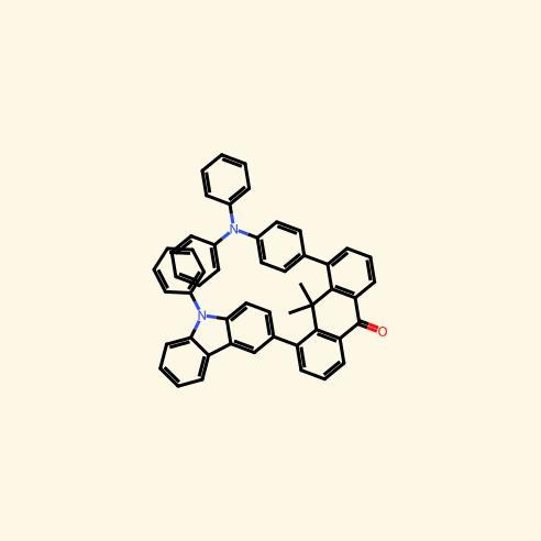 CC1(C)c2c(cccc2-c2ccc(N(c3ccccc3)c3ccccc3)cc2)C(=O)c2cccc(-c3ccc4c(c3)c3ccccc3n4-c3ccccc3)c21